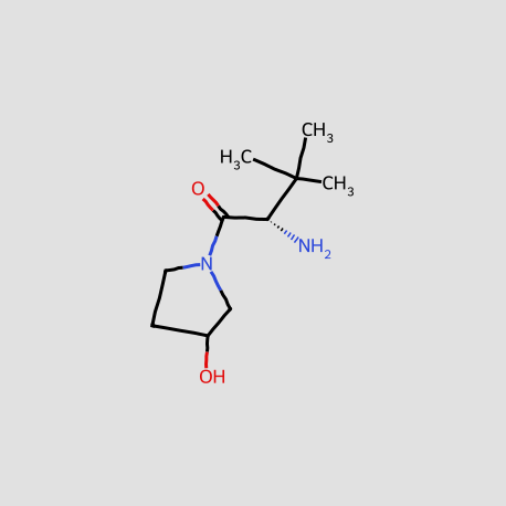 CC(C)(C)[C@H](N)C(=O)N1CCC(O)C1